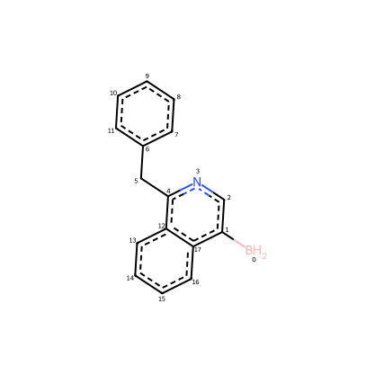 Bc1cnc(Cc2ccccc2)c2ccccc12